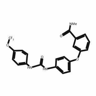 CNC(=O)c1cccc(Oc2ccc(NC(=O)Nc3ccc(OC(F)(F)F)cc3)cc2)c1